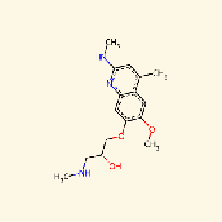 CNC[C@@H](O)COc1cc2nc(NC)cc(C)c2cc1OC